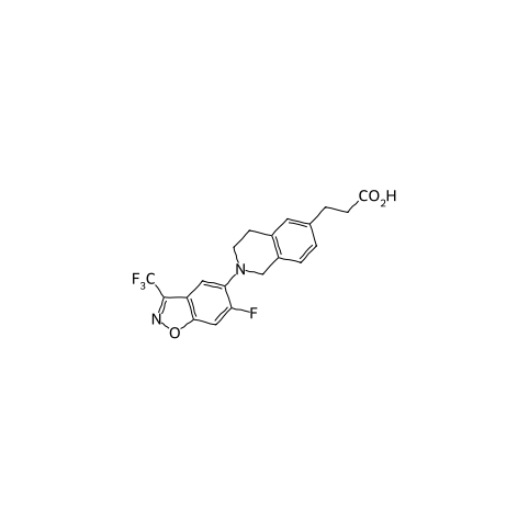 O=C(O)CCc1ccc2c(c1)CCN(c1cc3c(C(F)(F)F)noc3cc1F)C2